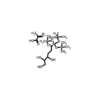 C=C(C)C(=O)O.C[Si](C)(C)O[Si](CCCC(O)C(O)CO)(O[Si](C)(C)C)O[Si](C)(C)C